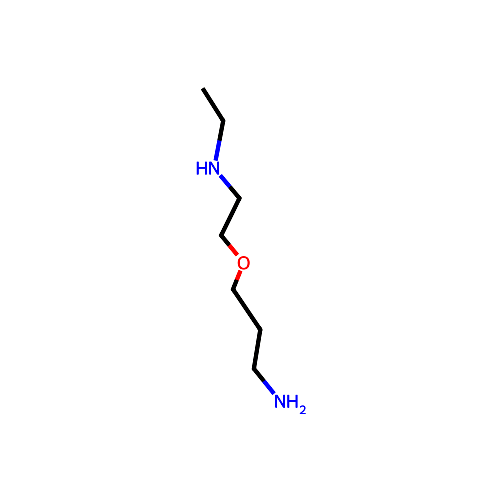 CCNCCOCCCN